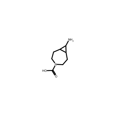 NC1C2CCN(C(=O)O)CCC12